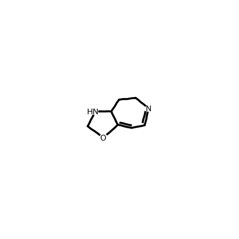 C1=NCCC2NCOC2=C1